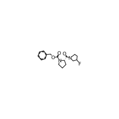 O=C([C@@H]1CCCN1C(=O)OCc1ccccc1)N1CCC(F)C1